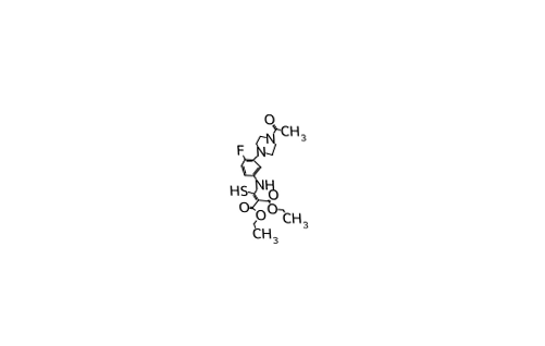 CCOC(=O)C(C(=O)OCC)=C(S)Nc1ccc(F)c(N2CCN(C(C)=O)CC2)c1